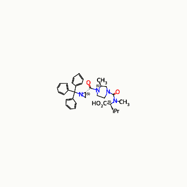 CC(C)[C@@H](C(=O)O)N(C)C(=O)N1CCN(C(=O)[C@@H]2CN2C(c2ccccc2)(c2ccccc2)c2ccccc2)[C@@H](C)C1